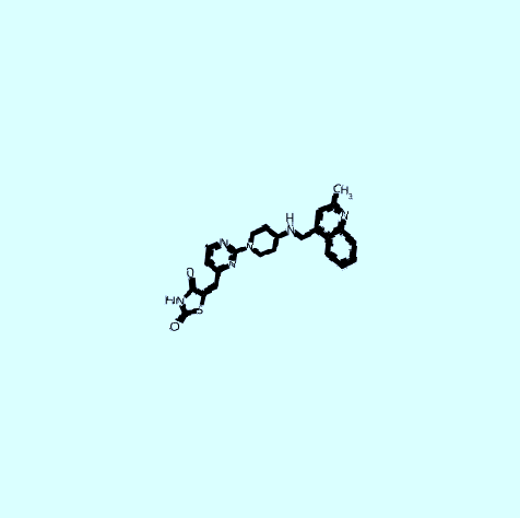 Cc1cc(CNC2CCN(c3nccc(C=C4SC(=O)NC4=O)n3)CC2)c2ccccc2n1